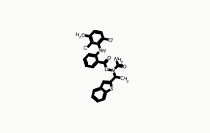 Cc1ccc(Cl)c(Nc2ccccc2C(=O)ON(C(N)=O)C(C)c2cc3ccccc3s2)c1Cl